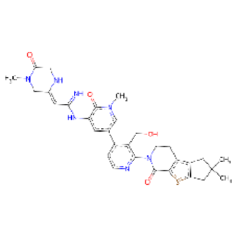 CN1C/C(=C/C(=N)Nc2cc(-c3ccnc(N4CCc5c(sc6c5CC(C)(C)C6)C4=O)c3CO)cn(C)c2=O)NCC1=O